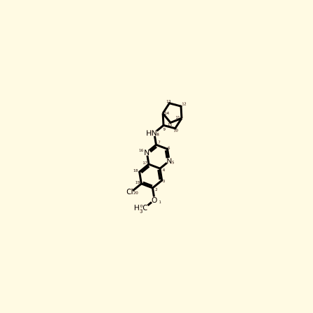 COc1cc2ncc(NC3CC4CCC3C4)nc2cc1Cl